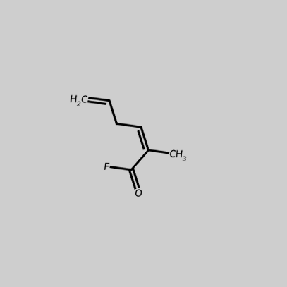 C=CCC=C(C)C(=O)F